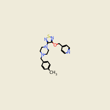 Cc1ccc(CN2CCN(c3nsnc3OCc3ccncc3)CC2)cc1